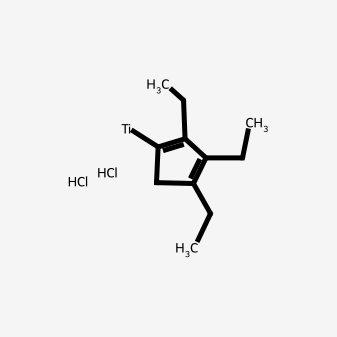 CCC1=C(CC)C(CC)=[C]([Ti])C1.Cl.Cl